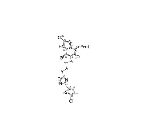 CCCCCn1c(=O)n(CCCCc2nc(-c3ccc(Cl)s3)no2)c(=O)c2[nH]c(Cl)nc21